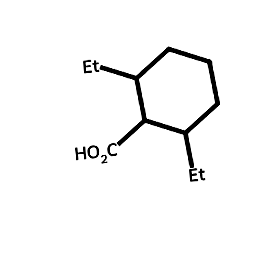 CCC1CCCC(CC)C1C(=O)O